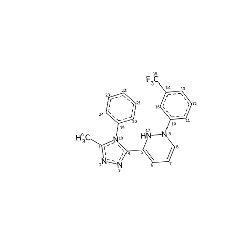 Cc1nnc(C2=CC=CN(c3cccc(C(F)(F)F)c3)N2)n1-c1ccccc1